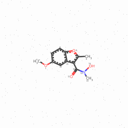 COc1ccc2oc(C)c(C(=O)N(C)O)c2c1